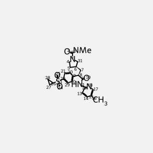 CNC(=O)N1CC[C@H](C[C@@H](C(=O)Nc2ccc(C)cn2)c2ccc(S(=O)(=O)C3CC3)cc2)C1